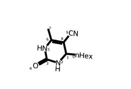 CCCCCCC1NC(=O)NC(C)=C1C#N